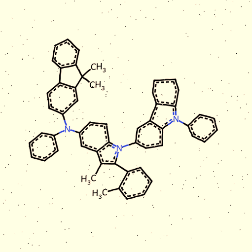 Cc1ccccc1-c1c(C)c2cc(N(c3ccccc3)c3ccc4c(c3)C(C)(C)c3ccccc3-4)ccc2n1-c1ccc2c(c1)c1ccccc1n2-c1ccccc1